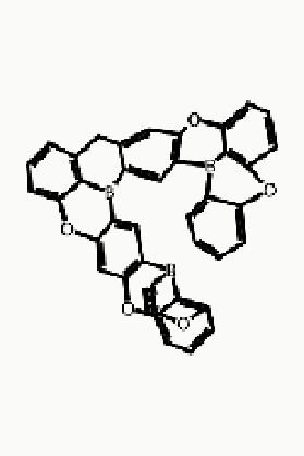 c1ccc2c(c1)Oc1cccc3c1B2c1cc2c(cc1O3)Cc1cccc3c1B2c1cc2c(cc1O3)Oc1cccc3c1B2c1ccccc1O3